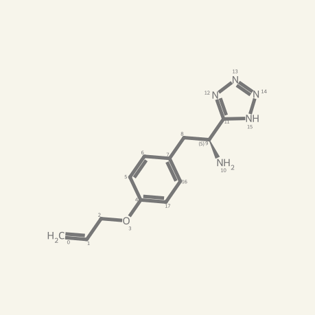 C=CCOc1ccc(C[C@H](N)c2nnn[nH]2)cc1